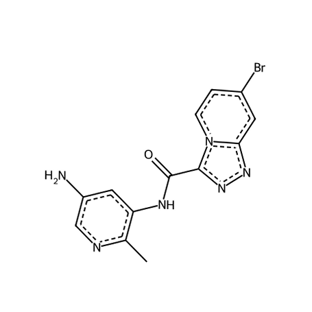 Cc1ncc(N)cc1NC(=O)c1nnc2cc(Br)ccn12